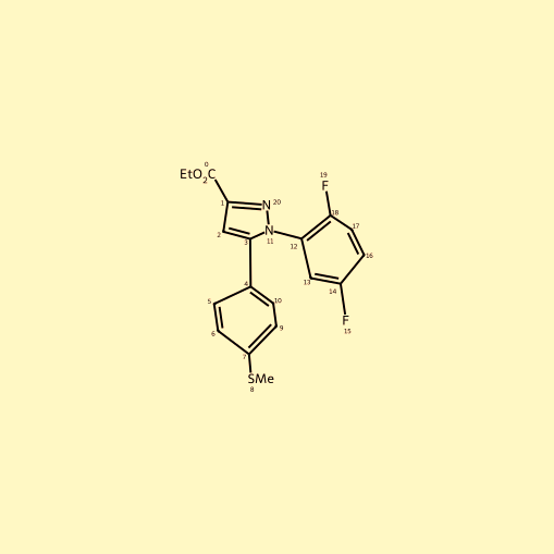 CCOC(=O)c1cc(-c2ccc(SC)cc2)n(-c2cc(F)ccc2F)n1